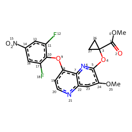 COC(=O)C1(Oc2nc3c(Oc4c(F)cc([N+](=O)[O-])cc4F)ccnc3cc2OC)CC1